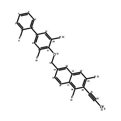 Fc1ccccc1-c1cc(F)c(OCc2ccc3c(F)c(C#CC(F)(F)F)c(F)cc3c2)c(F)c1